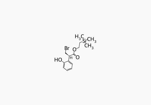 C[Si](C)(C)CCOC(=O)[C@H](CBr)c1ccccc1O